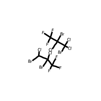 FC(F)(F)C(Cl)(Br)C(Cl)(Cl)Br.FC(F)(F)C(Cl)(Br)C(Cl)Br